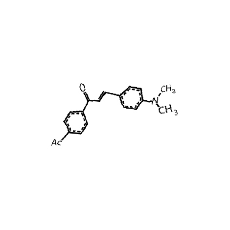 CC(=O)c1ccc(C(=O)/C=C/c2ccc(N(C)C)cc2)cc1